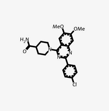 COc1cc2nc(-c3ccc(Cl)cc3)nc(N3CCC(C(N)=O)CC3)c2cc1OC